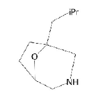 CC(C)CC12CCC(CNC1)O2